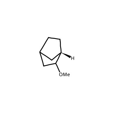 COC1CC2CC[C@H]1C2